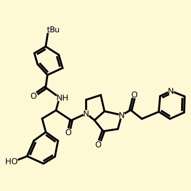 CC(C)(C)c1ccc(C(=O)NC(Cc2cccc(O)c2)C(=O)N2CCC3C2C(=O)CN3C(=O)Cc2cccnc2)cc1